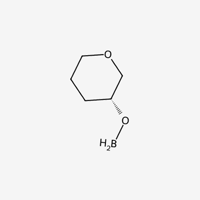 BO[C@@H]1CCCOC1